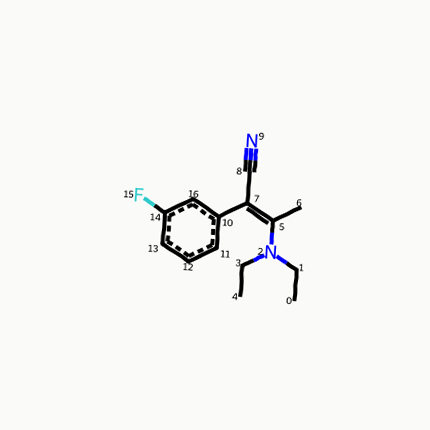 CCN(CC)C(C)=C(C#N)c1cccc(F)c1